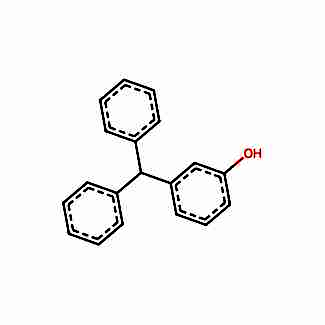 Oc1cccc(C(c2ccccc2)c2ccccc2)c1